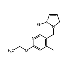 CCN1C=CCN1Cc1cnc(OCC(F)(F)F)cc1C